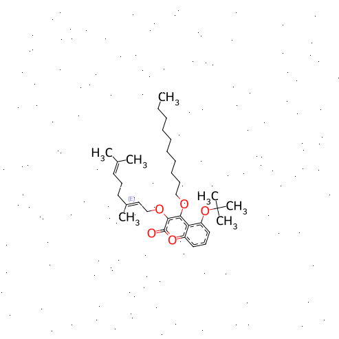 CCCCCCCCCCOc1c(OC/C=C(\C)CCC=C(C)C)c(=O)oc2cccc(OC(C)(C)C)c12